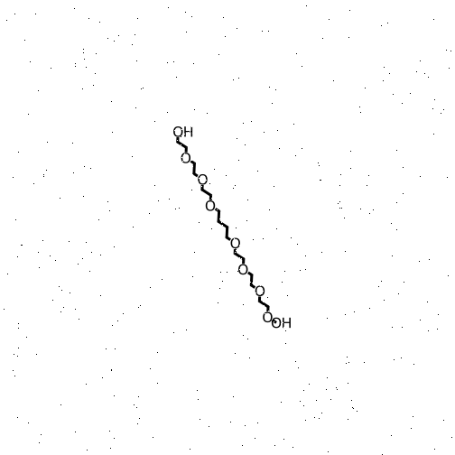 OCCOCCOCCOCCCCOCCOCCOCCOO